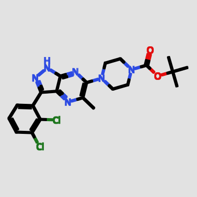 Cc1nc2c(-c3cccc(Cl)c3Cl)n[nH]c2nc1N1CCN(C(=O)OC(C)(C)C)CC1